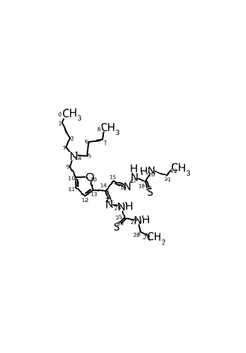 CCCCN(CCCC)Cc1ccc(C(/C=N/NC(=S)NCC)=N/NC(=S)NCC)o1